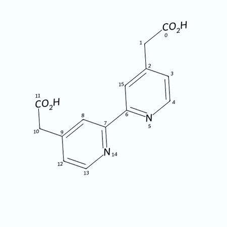 O=C(O)Cc1ccnc(-c2cc(CC(=O)O)ccn2)c1